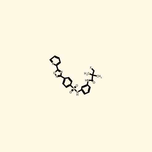 CC(C)(CF)C(=O)Nc1cccc(NS(=O)(=O)c2ccc(-c3noc(-c4ccccn4)n3)cc2)c1